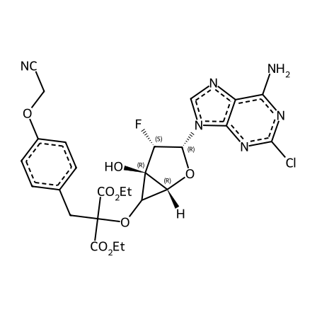 CCOC(=O)C(Cc1ccc(OCC#N)cc1)(OC1[C@H]2O[C@@H](n3cnc4c(N)nc(Cl)nc43)[C@@H](F)[C@@]12O)C(=O)OCC